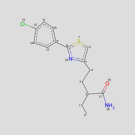 CCC(CCc1csc(-c2ccc(Cl)cc2)n1)C(N)=O